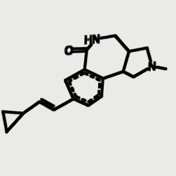 CN1CC2CNC(=O)c3cc(C=CC4CC4)ccc3C2C1